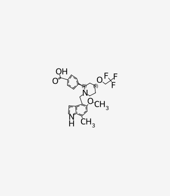 COc1cc(C)c2[nH]ccc2c1CN1CC[C@@H](OCC(F)(F)F)C[C@@H]1c1ccc(C(=O)O)cc1